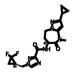 CN1C(=O)[C@@H](NC(=O)c2ncn(C[C@@H]3CC3(F)F)n2)CCn2nc(C3CC3)cc21